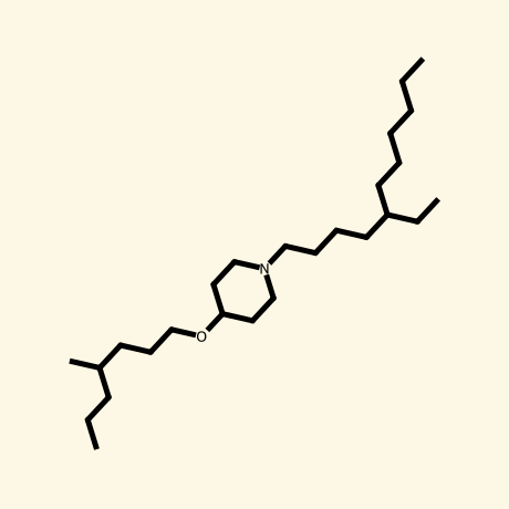 CCCCCCC(CC)CCCCN1CCC(OCCCC(C)CCC)CC1